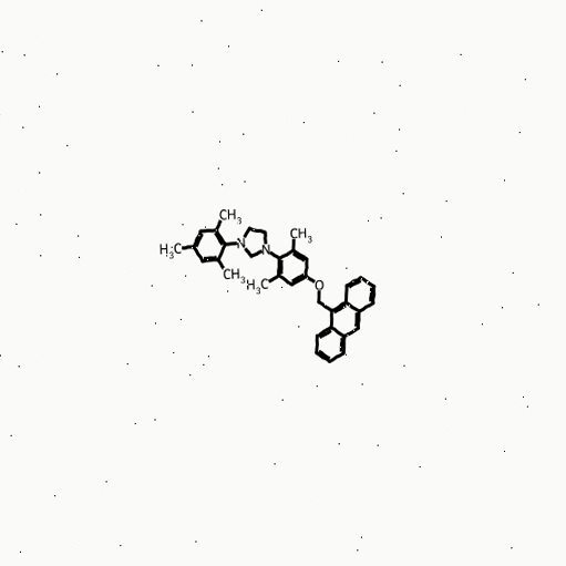 Cc1cc(C)c(N2CCN(c3c(C)cc(OCc4c5ccccc5cc5ccccc45)cc3C)C2)c(C)c1